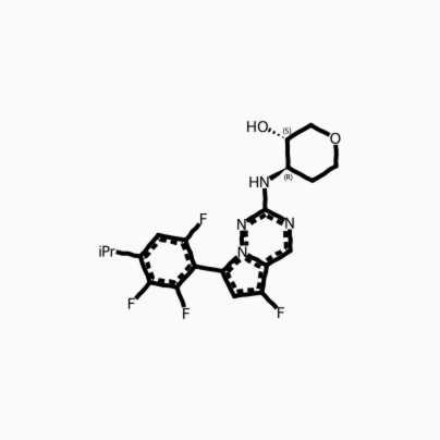 CC(C)c1cc(F)c(-c2cc(F)c3cnc(N[C@@H]4CCOC[C@H]4O)nn23)c(F)c1F